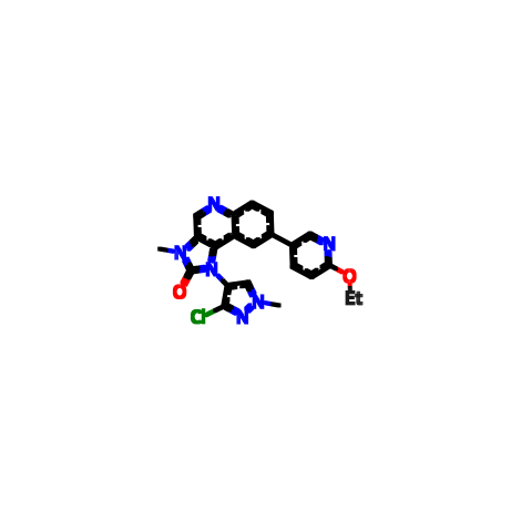 CCOc1ccc(-c2ccc3ncc4c(c3c2)n(-c2cn(C)nc2Cl)c(=O)n4C)cn1